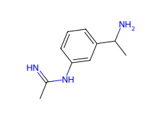 CC(=N)Nc1cccc(C(C)N)c1